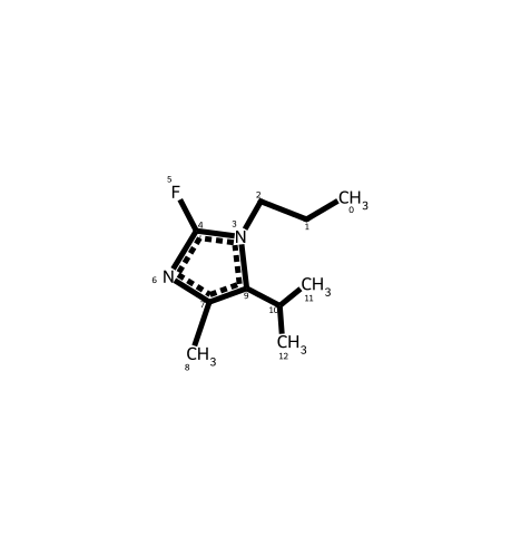 CCCn1c(F)nc(C)c1C(C)C